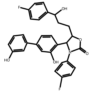 O=C1OC(CCC(O)c2ccc(F)cc2)C(c2ccc(-c3cccc(O)c3)cc2O)N1c1ccc(F)cc1